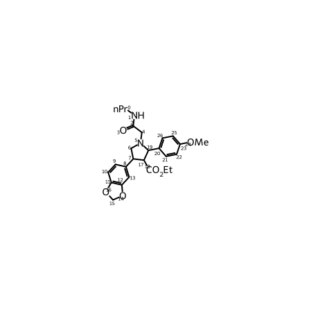 CCCNC(=O)CN1CC(c2ccc3c(c2)OCO3)C(C(=O)OCC)C1c1ccc(OC)cc1